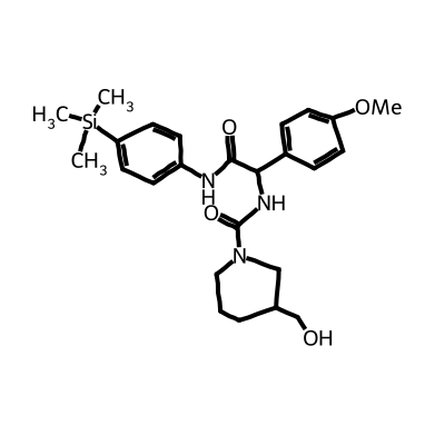 COc1ccc(C(NC(=O)N2CCCC(CO)C2)C(=O)Nc2ccc([Si](C)(C)C)cc2)cc1